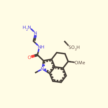 COC1CCc2c(C(=O)NC=NN)n(C)c3cccc1c23.CS(=O)(=O)O